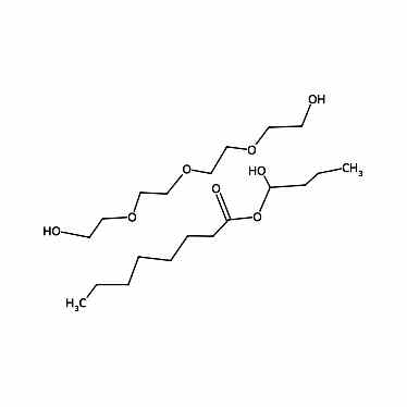 CCCCCCCC(=O)OC(O)CCC.OCCOCCOCCOCCO